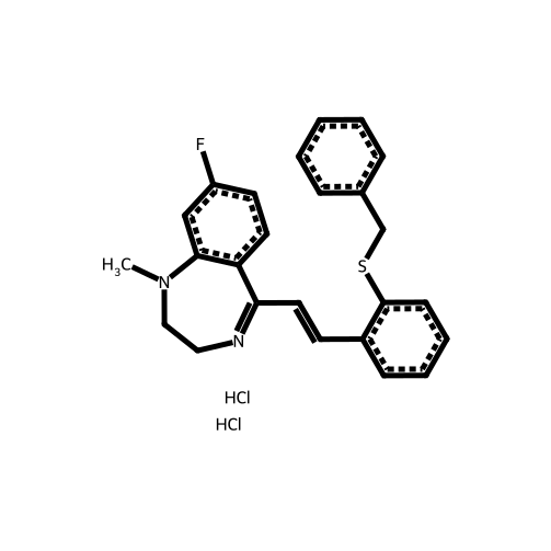 CN1CCN=C(C=Cc2ccccc2SCc2ccccc2)c2ccc(F)cc21.Cl.Cl